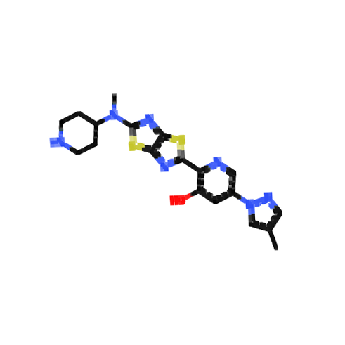 Cc1cnn(-c2cnc(-c3nc4sc(N(C)C5CCNCC5)nc4s3)c(O)c2)c1